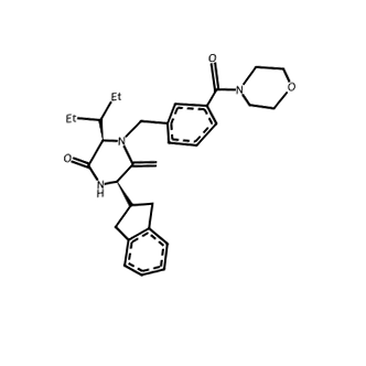 C=C1[C@@H](C2Cc3ccccc3C2)NC(=O)[C@@H](C(CC)CC)N1Cc1cccc(C(=O)N2CCOCC2)c1